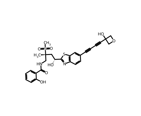 C[C@](CNC(=O)c1ccccc1O)(C[C@@H](O)c1nc2ccc(C#CC#CC3(O)COC3)cc2s1)S(C)(=O)=O